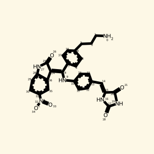 NCCCc1ccc(C(Nc2ccc(/C=C3\NC(=O)NC3=O)cc2)=C2C(=O)Nc3ccc([N+](=O)[O-])cc32)cc1